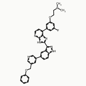 CN(C)CCOc1cc(F)cc(-c2ccnc3[nH]c(-c4n[nH]c5ccc(-c6cncc(COc7ccccc7)c6)cc45)nc23)c1